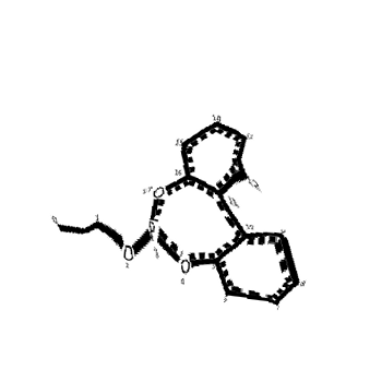 CCOp1oc2ccccc2c2ccccc2o1